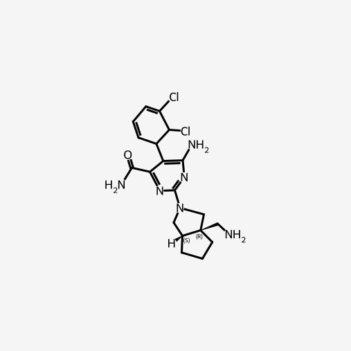 NC[C@@]12CCC[C@@H]1CN(c1nc(N)c(C3C=CC=C(Cl)C3Cl)c(C(N)=O)n1)C2